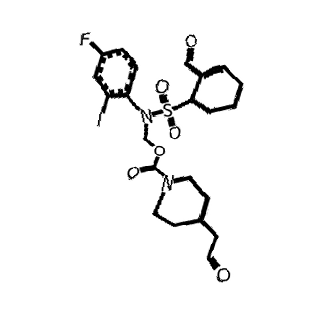 O=CCC1CCN(C(=O)OCN(c2ccc(F)cc2I)S(=O)(=O)C2CCCC=C2C=O)CC1